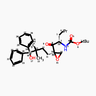 CC(C)C[C@H](NC(=O)OC(C)(C)C)C(=O)[C@@]1(CCC(C)(C)[Si](O)(c2ccccc2)c2ccccc2)CO1